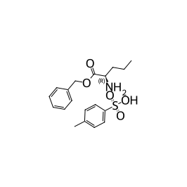 CCC[C@@H](N)C(=O)OCc1ccccc1.Cc1ccc(S(=O)(=O)O)cc1